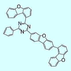 c1ccc(-c2nc(-c3ccc4c(c3)oc3cc(-c5cccc6oc7ccccc7c56)ccc34)nc(-c3cccc4oc5ccccc5c34)n2)cc1